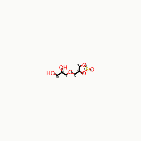 O=S1OCC(COCC(O)CO)O1